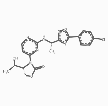 C[C@H](Nc1nccc(N2C(=O)OC[C@@H]2[C@@H](C)O)n1)c1noc(-c2ccc(Cl)cc2)n1